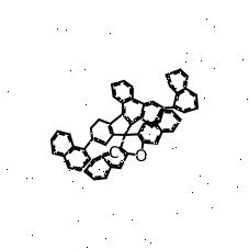 C1=C(c2cccc3ccccc23)CCC2=C1C1(c3cc4ccccc4cc3Oc3cc4ccccc4cc31)c1c2c2ccccc2c2cc(-c3cccc4ccccc34)ccc12